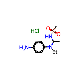 CCN(c1ccc(N)cc1)C(C)NS(C)(=O)=O.Cl